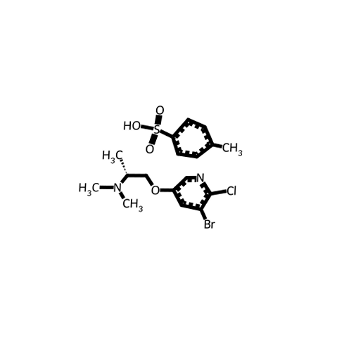 C[C@H](COc1cnc(Cl)c(Br)c1)N(C)C.Cc1ccc(S(=O)(=O)O)cc1